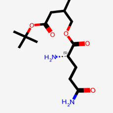 CC(COC(=O)[C@@H](N)CCC(N)=O)CC(=O)OC(C)(C)C